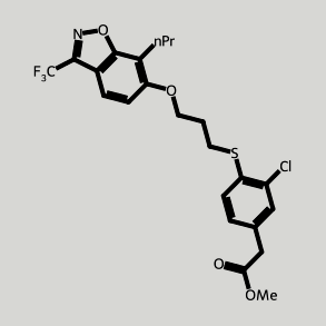 CCCc1c(OCCCSc2ccc(CC(=O)OC)cc2Cl)ccc2c(C(F)(F)F)noc12